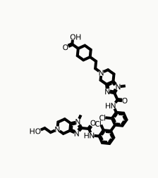 Cn1c(C(=O)Nc2cccc(-c3cccc(NC(=O)c4nc5c(n4C)CCN(CCC4CCC(C(=O)O)CC4)C5)c3Cl)c2Cl)nc2c1CCN(CCO)C2